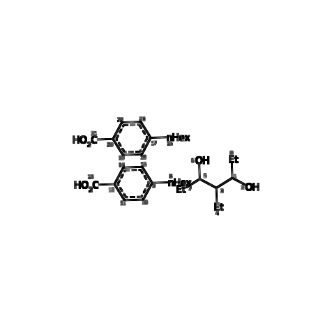 CCC(O)C(CC)C(O)CC.CCCCCCc1ccc(C(=O)O)cc1.CCCCCCc1ccc(C(=O)O)cc1